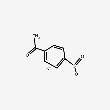 CC(=O)c1ccc(S(=O)[O-])cc1.[K+]